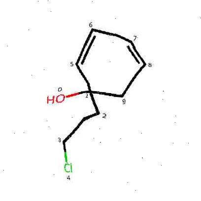 OC1(CCCl)C=CC=CC1